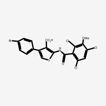 COc1c(Cl)cc(Cl)c(C(=O)Nc2scc(-c3ccc(Br)cc3)c2C(=O)O)c1Cl